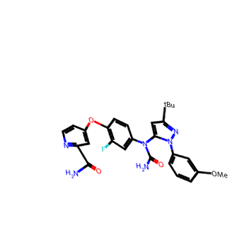 COc1cccc(-n2nc(C(C)(C)C)cc2N(C(N)=O)c2ccc(Oc3ccnc(C(N)=O)c3)c(F)c2)c1